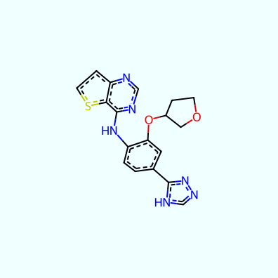 c1nc(Nc2ccc(-c3nnc[nH]3)cc2OC2CCOC2)c2sccc2n1